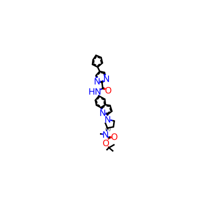 CN(C(=O)OC(C)(C)C)[C@@H]1CCN(c2ccc3cc(NC(=O)c4ncc(-c5ccccc5)cn4)ccc3n2)C1